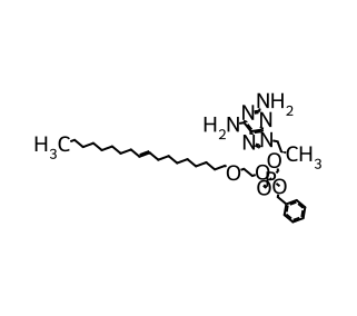 CCCCCCCCC=CCCCCCCCCOCCOP(=O)(CO[C@H](C)Cn1cnc2c(N)nc(N)nc21)OCc1ccccc1